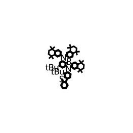 CC(C)(C)c1cc2c3c(c1)N(c1ccc4c(sc5ccccc54)c1C(C)(C)C)c1cc4c(cc1B3c1cc3c(cc1N2c1ccc2c(c1)C(C)(C)CCC2(C)C)C(C)(C)CCC3(C)C)C(C)(C)CCC4(C)C